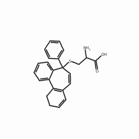 NC(CSC1(c2ccccc2)C=CC2=C(CCC=C2)c2ccccc21)C(=O)O